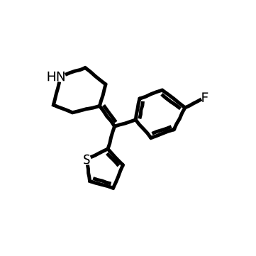 Fc1ccc(C(=C2CCNCC2)c2cccs2)cc1